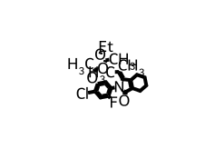 CCOC(C)OC(C)Oc1cc(N2C(=O)C3=C(CCCC3)C2=C(C)C)c(F)cc1Cl